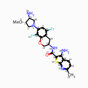 CO[C@H]1CN(c2cc(F)c3c(c2F)OC[C@H](NC(=O)c2sc4nc(C)ccc4c2N)C3)C[C@@H]1N